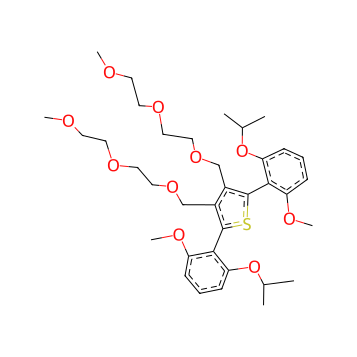 COCCOCCOCc1c(-c2c(OC)cccc2OC(C)C)sc(-c2c(OC)cccc2OC(C)C)c1COCCOCCOC